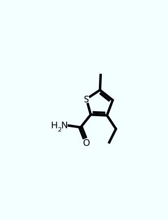 CCc1cc(C)sc1C(N)=O